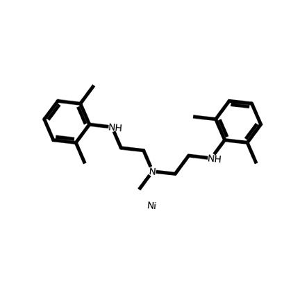 Cc1cccc(C)c1NCCN(C)CCNc1c(C)cccc1C.[Ni]